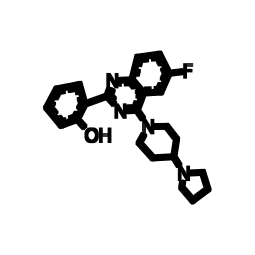 Oc1ccccc1-c1nc(N2CCC(N3CCCC3)CC2)c2cc(F)ccc2n1